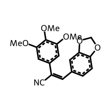 COc1cc(C(C#N)=Cc2ccc3c(c2)OCO3)cc(OC)c1OC